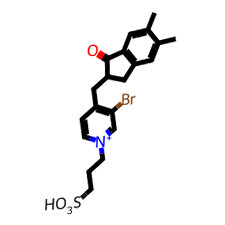 Cc1cc2c(cc1C)C(=O)C(Cc1cc[n+](CCCS(=O)(=O)O)cc1Br)C2